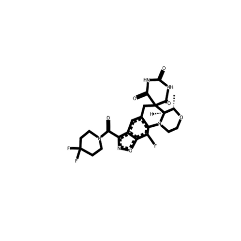 C[C@@H]1OCCN2c3c(cc4c(C(=O)N5CCC(F)(F)CC5)noc4c3F)CC3(C(=O)NC(=O)NC3=O)[C@@H]12